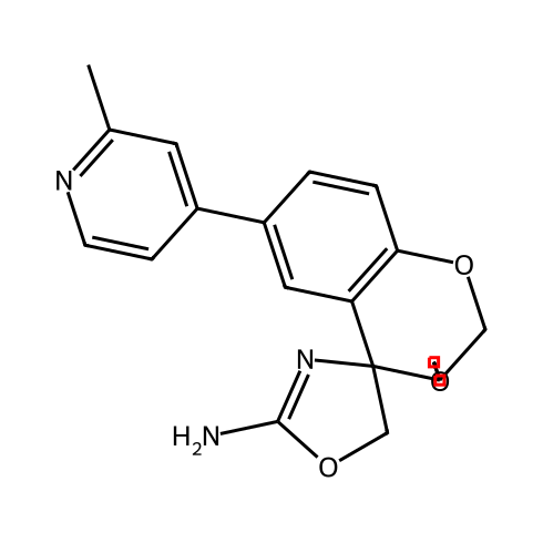 Cc1cc(-c2ccc3c(c2)C2(COC(N)=N2)C2(COC2)CO3)ccn1